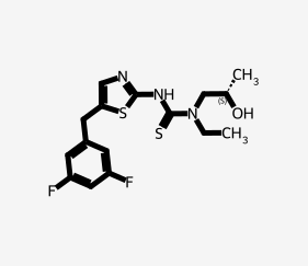 CCN(C[C@H](C)O)C(=S)Nc1ncc(Cc2cc(F)cc(F)c2)s1